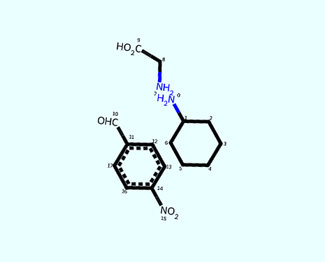 NC1CCCCC1.NCC(=O)O.O=Cc1ccc([N+](=O)[O-])cc1